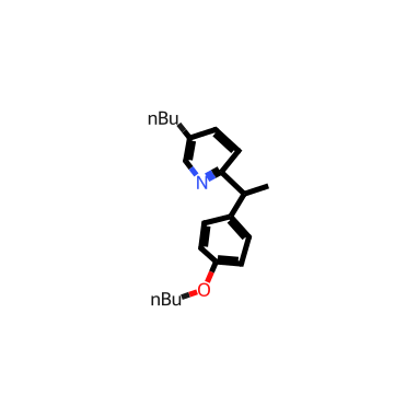 CCCCOc1ccc(C(C)c2ccc(CCCC)cn2)cc1